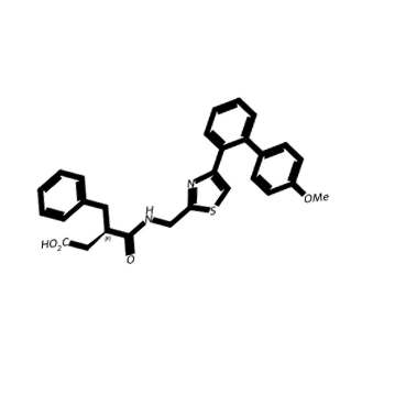 COc1ccc(-c2ccccc2-c2csc(CNC(=O)[C@@H](CC(=O)O)Cc3ccccc3)n2)cc1